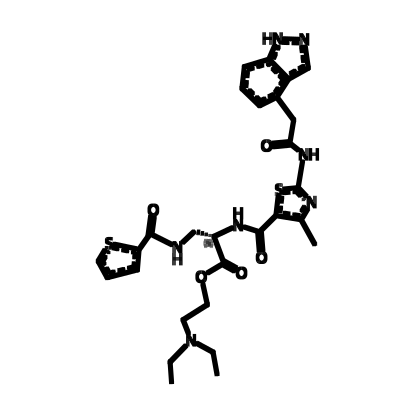 CCN(CC)CCOC(=O)[C@H](CNC(=O)c1cccs1)NC(=O)c1sc(NC(=O)Cc2cccc3[nH]ncc23)nc1C